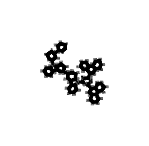 c1ccc(-c2cccc(-n3c4ccccc4c4cc(-c5ccc6c(c5)c5ccccc5n6-c5nc(-c6cc7ccccc7c7ccccc67)nc(-c6cc7ccccc7c7ccccc67)n5)ccc43)c2)cc1